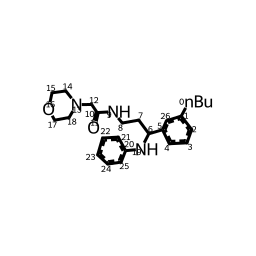 CCCCc1cccc(C(CCNC(=O)CN2CCOCC2)Nc2ccccc2)c1